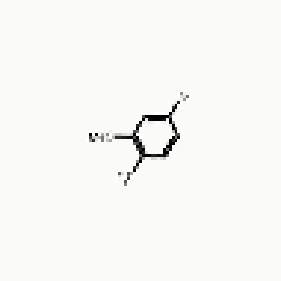 COc1cc(Br)ccc1C(F)(F)F